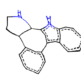 c1ccc2c(c1)-c1c([nH]c3ccccc13)C1NCCC21